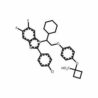 O=C(O)C1(Oc2ccc(OCC(C3CCCCC3)n3c(-c4ccc(Cl)cc4)nc4cc(F)c(F)cc43)cc2)CCC1